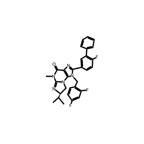 CC(C)[C@@H]1CN2C(=N1)N(C)C(=O)c1nc(-c3ccc(F)c(-c4ccccc4)c3)n(Cc3ccc(F)cc3F)c12